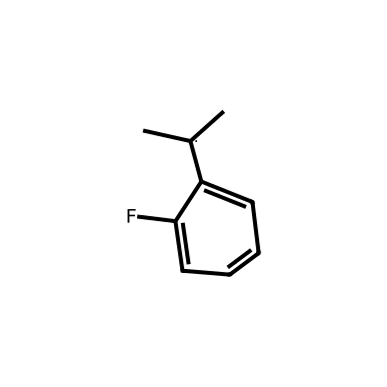 C[C](C)c1ccccc1F